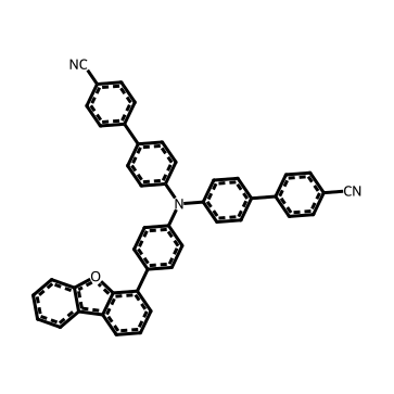 N#Cc1ccc(-c2ccc(N(c3ccc(-c4ccc(C#N)cc4)cc3)c3ccc(-c4cccc5c4oc4ccccc45)cc3)cc2)cc1